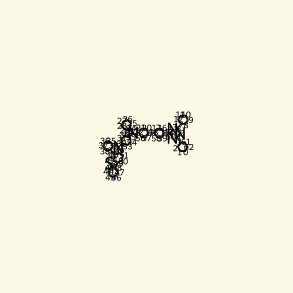 c1ccc(-c2nc(-c3ccccc3)nc(-c3ccc(-c4ccc(-n5c6ccccc6c6cc(-n7c8ccccc8c8c9sc%10ccccc%10c9ccc87)ccc65)cc4)cc3)n2)cc1